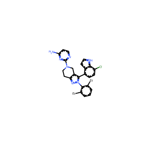 CCc1cccc(CC)c1-n1nc2c(c1-c1ccc(Cl)c3[nH]ccc13)CN(c1nccc(N)n1)CC2